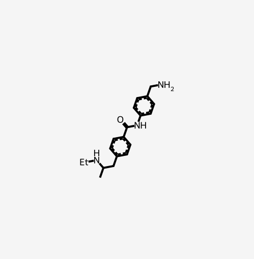 CCNC(C)Cc1ccc(C(=O)Nc2ccc(CN)cc2)cc1